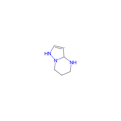 [C]1=CNN2CCCNC12